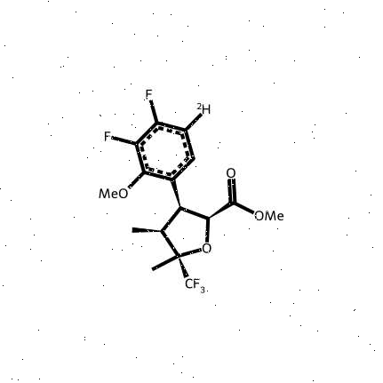 [2H]c1cc([C@H]2[C@@H](C(=O)OC)O[C@@](C)(C(F)(F)F)[C@H]2C)c(OC)c(F)c1F